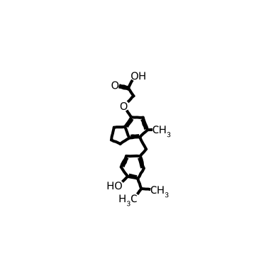 Cc1cc(OCC(=O)O)c2c(c1Cc1ccc(O)c(C(C)C)c1)CCC2